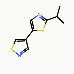 CC(C)c1ncc(-c2cnsc2)s1